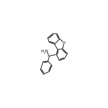 NN(c1ccccc1)c1cccc2oc3ccccc3c12